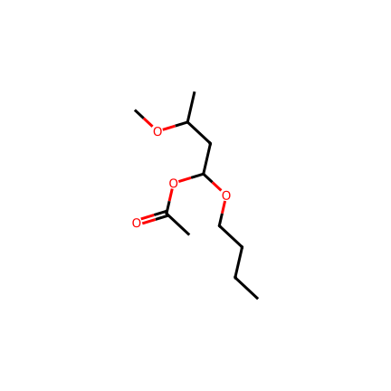 CCCCOC(CC(C)OC)OC(C)=O